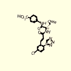 COC[C@H](NC(=O)C=Cc1cc(Cl)ccc1-n1cnnn1)C(=O)Nc1ccc(C(=O)O)cc1